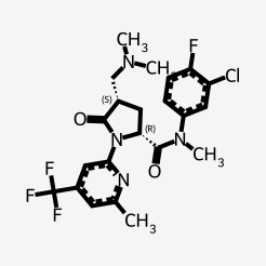 Cc1cc(C(F)(F)F)cc(N2C(=O)[C@H](CN(C)C)C[C@@H]2C(=O)N(C)c2ccc(F)c(Cl)c2)n1